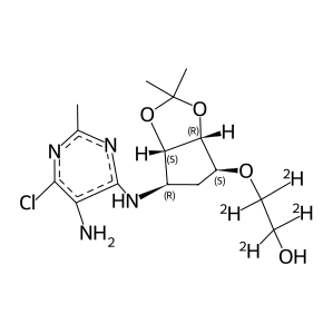 [2H]C([2H])(O)C([2H])([2H])O[C@H]1C[C@@H](Nc2nc(C)nc(Cl)c2N)[C@@H]2OC(C)(C)O[C@@H]21